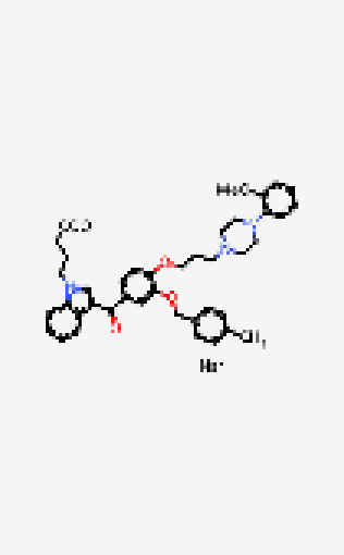 COc1ccccc1N1CCN(CCCOc2ccc(C(=O)c3cn(CCCC(=O)[O-])c4ccccc34)cc2OCc2ccc(C)cc2)CC1.[Na+]